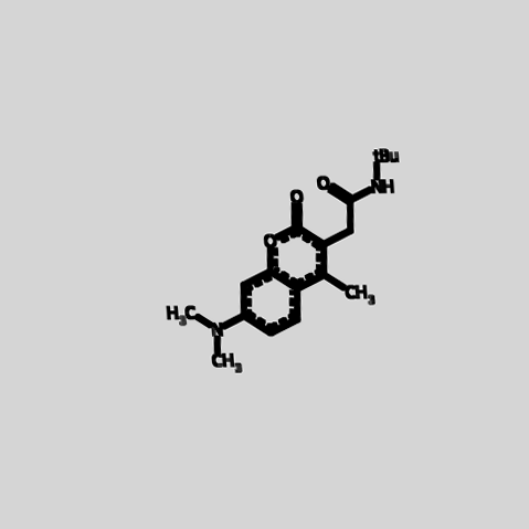 Cc1c(CC(=O)NC(C)(C)C)c(=O)oc2cc(N(C)C)ccc12